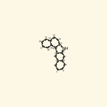 c1ccc2cc3c(cc2c1)[nH]c1ccc2ccccc2c13